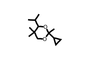 CC(C)C1OC(C)(C2CC2)OCC1(C)C